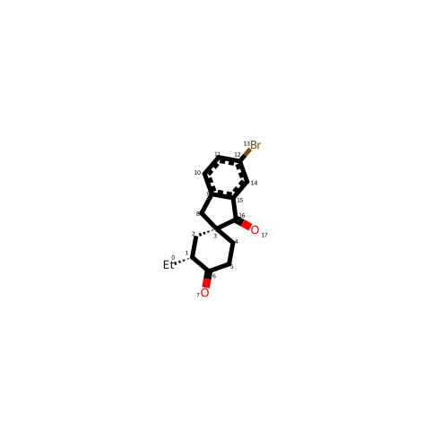 CC[C@@H]1C[C@]2(CCC1=O)Cc1ccc(Br)cc1C2=O